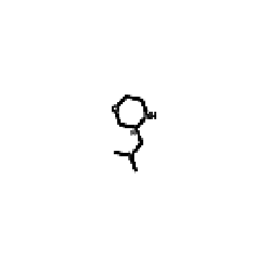 CN(C)C[C@H]1COCCN1